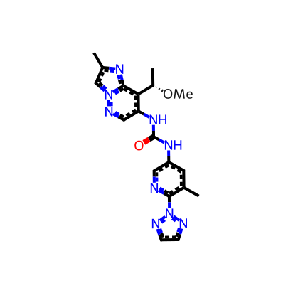 CO[C@@H](C)c1c(NC(=O)Nc2cnc(-n3nccn3)c(C)c2)cnn2cc(C)nc12